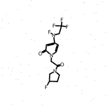 O=C(Cn1ccc(N(F)CC(F)(F)F)cc1=O)N1CCC(F)C1